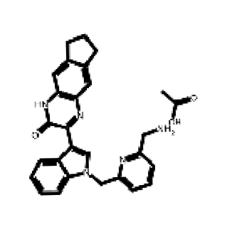 CC(=O)O.NCc1cccc(Cn2cc(-c3nc4cc5c(cc4[nH]c3=O)CCC5)c3ccccc32)n1